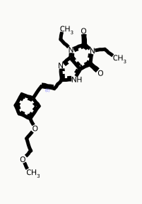 CCn1c(=O)c2[nH]c(/C=C/c3cccc(OCCOC)c3)nc2n(CC)c1=O